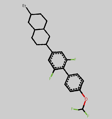 CCC1CCC2CC(c3cc(F)c(-c4ccc(OC(F)F)cc4)c(F)c3)CCC2C1